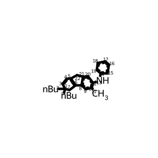 CCCCC1(CCCC)C=CC2=C(C1)c1cc(C)c(Nc3ccccc3)cc1C2